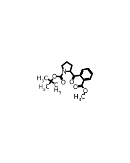 COC(=O)c1ccccc1C(=O)C1CCCN1C(=O)OC(C)(C)C